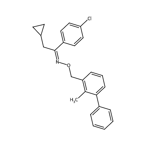 Cc1c(CON=C(CC2CC2)c2ccc(Cl)cc2)cccc1-c1ccccc1